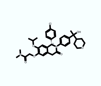 CC(C)Oc1cc2c(cc1OCC(=O)N(C)C)CC(=O)N(c1ccc(C(C)(O)C3CCOCC3)cc1)[C@H]2c1ccc(Cl)cc1